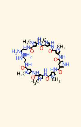 Cn1cc(NC(=O)c2cc(NC(=O)c3cc(NC(=O)C4=CNCC(C(=O)Nc5cc(C(=O)Nc6cc(C(=O)Nc7cc(C(=O)NCCC(=N)N)n(C)c7)n(C)c6)n(C)c5)=C4)cn3C)cn2C)cc1C(=O)NCCC(=N)N